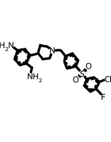 NCc1ccc(N)cc1C1CCN(Cc2ccc(S(=O)(=O)c3ccc(F)c(Cl)c3)cc2)CC1